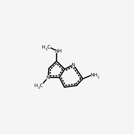 CNc1cn(C)c2ccc(N)nc12